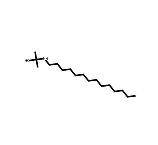 CCCCCCCCCCCCCCNC(C)(C)O